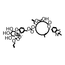 C=CCOC(=O)[C@H]1O[C@@H](Oc2ccc(COC(=O)O[C@H]3[C@@H](C)CCC/C(C)=C\C[C@@H](c4ccc5sc(C)nc5c4)OC(=O)C[C@H](O)C(C)(C)C(=O)[C@@H]3CC=C)cc2[N+](=O)[O-])[C@H](O)[C@@H](O)[C@@H]1O